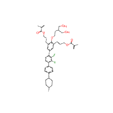 C=C(C)C(=O)OCCCc1cc(-c2ccc(-c3ccc(C4CCC(C)CC4)cc3)c(F)c2F)cc(CCCOC(=O)C(=C)C)c1OCCC(CO)CO